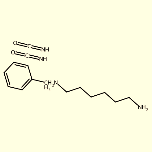 Cc1ccccc1.N=C=O.N=C=O.NCCCCCCN